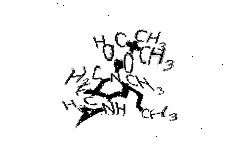 CCC[C@@]1(C)C[C@H](NC2CC2)[C@@](C)(F)[C@H](C)N1C(=O)OC(C)(C)C